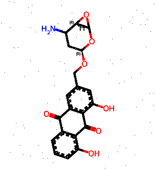 NC1C[C@H](OCc2cc(O)c3c(c2)C(=O)c2cccc(O)c2C3=O)OC2O[C@H]12